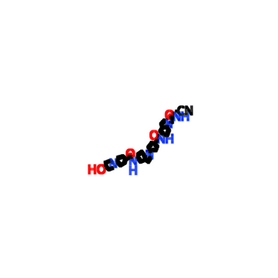 N#CCNC(=O)Cn1ccc2cc(NC(=O)c3ccc(-n4ccc5cc(NC(=O)c6ccc(N7CCC(O)CC7)cc6)ccc54)cc3)ccc21